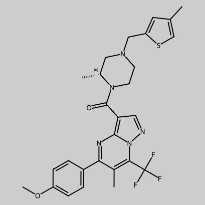 COc1ccc(-c2nc3c(C(=O)N4CCN(Cc5cc(C)cs5)C[C@H]4C)cnn3c(C(F)(F)F)c2C)cc1